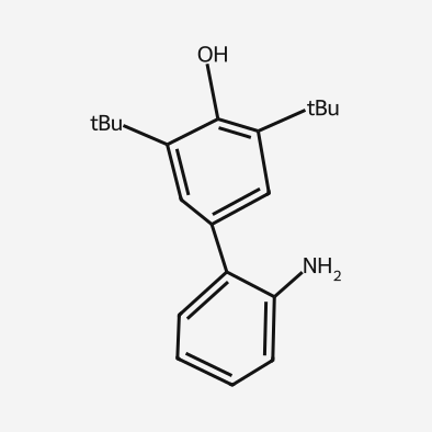 CC(C)(C)c1cc(-c2ccccc2N)cc(C(C)(C)C)c1O